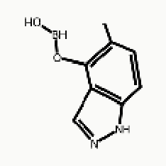 Cc1ccc2[nH]ncc2c1OBO